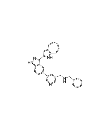 C1=CC=Cc2cc(-c3n[nH]c4ccc(-c5cncc(CNCc6ccccc6)c5)cc34)[nH]c2C=1